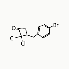 O=C1CC(Cc2ccc(Br)cc2)C1(Cl)Cl